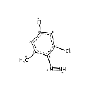 Cc1cc(Cl)cc(Cl)c1N=N